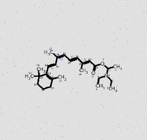 CCN(CC)C(C)OC(=O)/C=C(C)/C=C/C=C(C)\C=C\C1=C(C)CCCC1(C)C